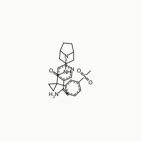 C=C(N)c1ccc(N2C3CCC2CC(NC(=O)C2(c4cccc(S(C)(=O)=O)c4)CC2)C3)nc1